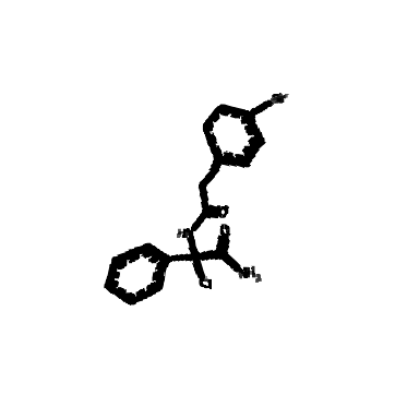 NC(=O)C(Cl)(NC(=O)Cc1ccc(Br)cc1)c1ccccc1